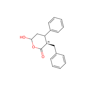 O=C1OC(O)CC(c2ccccc2)[C@H]1Cc1ccccc1